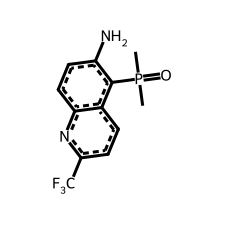 CP(C)(=O)c1c(N)ccc2nc(C(F)(F)F)ccc12